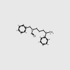 CC(CCCN([C]=O)Cc1ccccc1)c1ccccc1